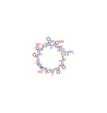 CCCC[C@H]1C(=O)N2CCC[C@@]2(C=O)CN2C[C@H](O)C[C@H]2C(=O)N[C@@H](C(C)C)C(=O)N(C)[C@@H](Cc2ccccc2)C(=O)N[C@@H](Cc2ccc(O)cc2)C(=O)N(C)CC(=O)N[C@@H](Cc2c[nH]c3ccccc23)C(=O)N[C@@H](Cc2ccc(O)cc2)C(=O)N[C@@H](CC(C)C)C(=O)N[C@H](C(=O)NCC(N)=O)CSCC(=O)N[C@@H](Cc2ccccc2)C(=O)N(C)[C@@H](Cc2ccccc2)C(=O)N1C